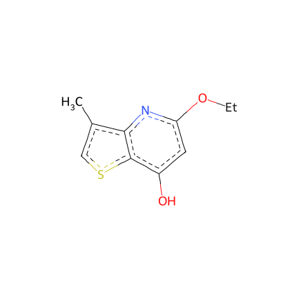 CCOc1cc(O)c2scc(C)c2n1